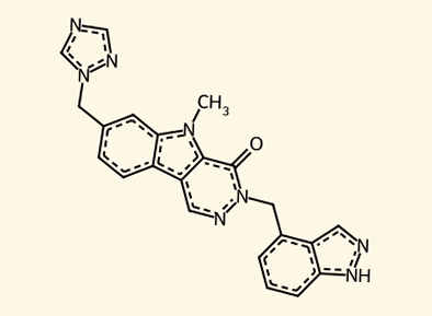 Cn1c2cc(Cn3cncn3)ccc2c2cnn(Cc3cccc4[nH]ncc34)c(=O)c21